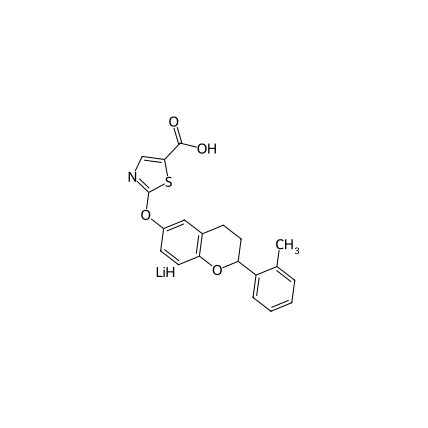 Cc1ccccc1C1CCc2cc(Oc3ncc(C(=O)O)s3)ccc2O1.[LiH]